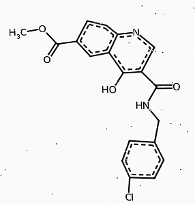 COC(=O)c1ccc2ncc(C(=O)NCc3ccc(Cl)cc3)c(O)c2c1